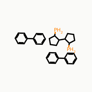 PC1CCCC1C1CCCC1P.c1ccc(-c2ccccc2)cc1.c1ccc(-c2ccccc2)cc1